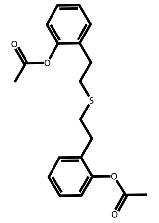 CC(=O)Oc1ccccc1CCSCCc1ccccc1OC(C)=O